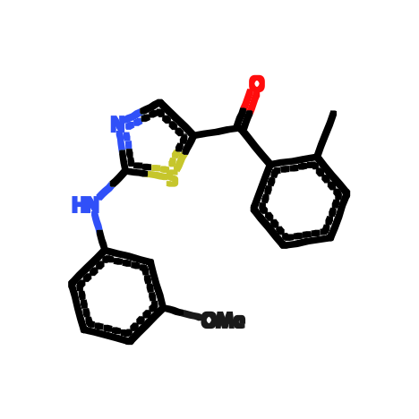 COc1cccc(Nc2ncc(C(=O)c3ccccc3C)s2)c1